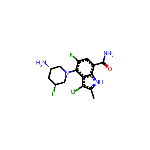 Cc1[nH]c2c(C(N)=O)cc(F)c(N3C[C@@H](N)C[C@H](F)C3)c2c1Cl